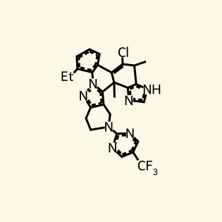 CCc1cccc2c1-n1nc3c(c1C1(C)C2=C(Cl)C(C)c2[nH]cnc21)CN(c1ncc(C(F)(F)F)cn1)CC3